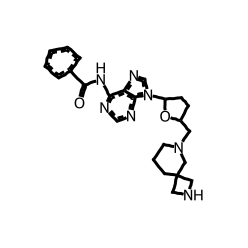 O=C(Nc1ncnc2c1ncn2C1CCC(CN2CCCC3(CNC3)C2)O1)c1ccccc1